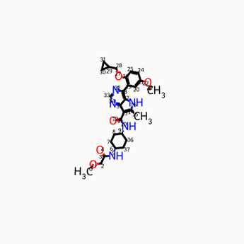 COCC(=O)N[C@H]1CC[C@@H](NC(=O)c2c(C)[nH]c3c(-c4cc(OC)ccc4OCC4CC4)ncnc23)CC1